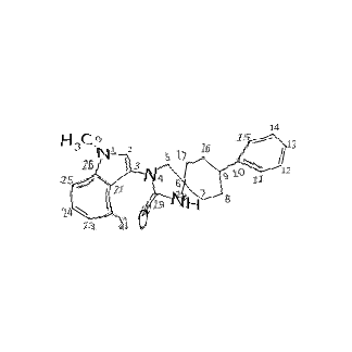 Cn1cc(N2CC3(CCC(c4ccccc4)CC3)NC2=O)c2ccccc21